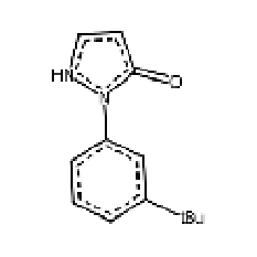 CC(C)(C)c1cccc(-n2[nH]ccc2=O)c1